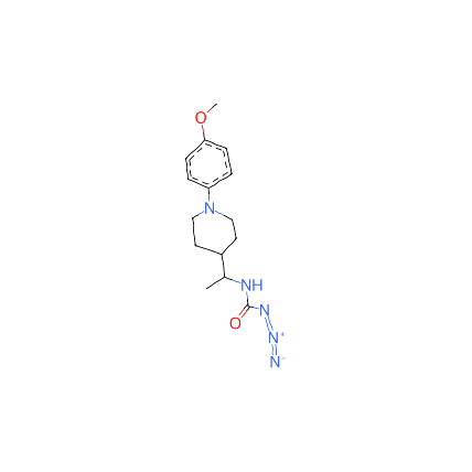 COc1ccc(N2CCC(C(C)NC(=O)N=[N+]=[N-])CC2)cc1